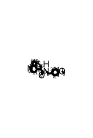 COc1ccc(CNC(=O)C2CSC34CC=CC=C3N=CCC24)cc1